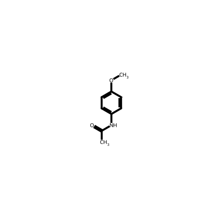 COc1[c]cc(NC(C)=O)cc1